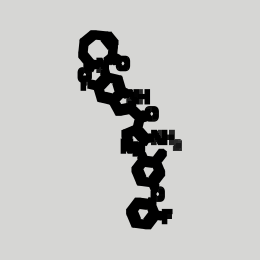 Cc1cc(Oc2ccccc2F)ccc1-n1ncc(C(=O)c2cc3cc(F)c(N4C(=O)C#CCCCC4=O)cc3[nH]2)c1N